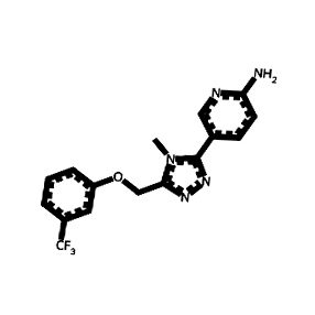 Cn1c(COc2cccc(C(F)(F)F)c2)nnc1-c1ccc(N)nc1